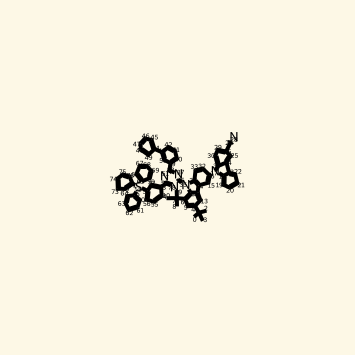 CC(C)(C)c1cc(C(C)(C)C)c2c(c1)c1cc(-n3c4ccccc4c4cc(C#N)ccc43)ccc1n2-c1nc(-c2cccc(-c3ccccc3)c2)nc(-c2cccc(S(c3ccccc3)(c3ccccc3)c3ccccc3)c2)n1